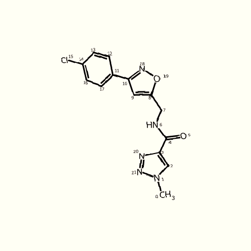 Cn1cc(C(=O)NCc2cc(-c3ccc(Cl)cc3)no2)nn1